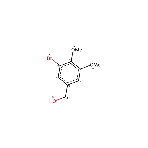 COc1cc(CO)cc(Br)c1OC